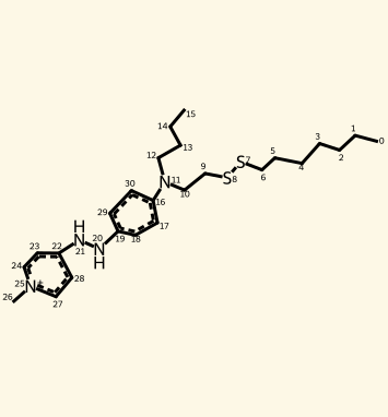 CCCCCCCSSCCN(CCCC)c1ccc(NNc2cc[n+](C)cc2)cc1